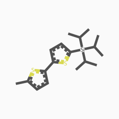 Cc1ccc(-c2ccc([Si](C(C)C)(C(C)C)C(C)C)s2)s1